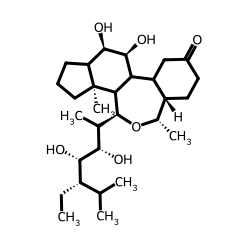 CC[C@@H](C(C)C)[C@H](O)[C@@H](O)C(C)[C@@H]1O[C@@H](C)[C@H]2CCC(=O)CC2C2C1[C@@]1(C)CCCC1[C@@H](O)[C@H]2O